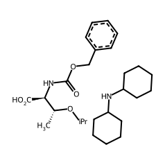 C1CCC(NC2CCCCC2)CC1.CC(C)O[C@H](C)[C@H](NC(=O)OCc1ccccc1)C(=O)O